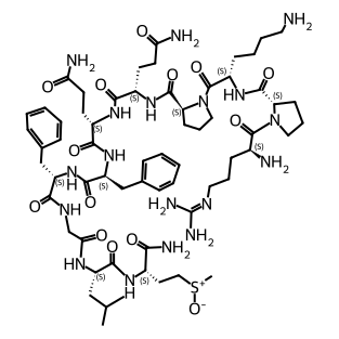 CC(C)C[C@H](NC(=O)CNC(=O)[C@H](Cc1ccccc1)NC(=O)[C@H](Cc1ccccc1)NC(=O)[C@H](CCC(N)=O)NC(=O)[C@H](CCC(N)=O)NC(=O)[C@@H]1CCCN1C(=O)[C@H](CCCCN)NC(=O)[C@@H]1CCCN1C(=O)[C@@H](N)CCCN=C(N)N)C(=O)N[C@@H](CC[S+](C)[O-])C(N)=O